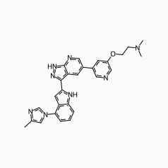 Cc1cn(-c2cccc3[nH]c(-c4n[nH]c5ncc(-c6cncc(OCCN(C)C)c6)cc45)cc23)cn1